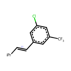 CC(C)/C=C/c1cc(Cl)cc(C(F)(F)F)c1